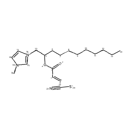 C=CC(=O)OC(CCCCCCCCC)C[n+]1ccn(C)c1.N#C[S-]